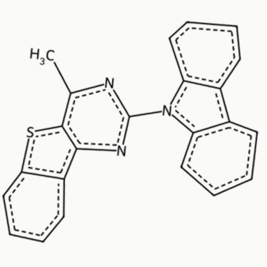 Cc1nc(-n2c3ccccc3c3ccccc32)nc2c1sc1ccccc12